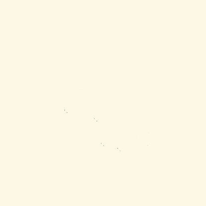 C=C(Nc1cc(C2CC2)nn1C)C1CN1C1Cc2ccccc2C1